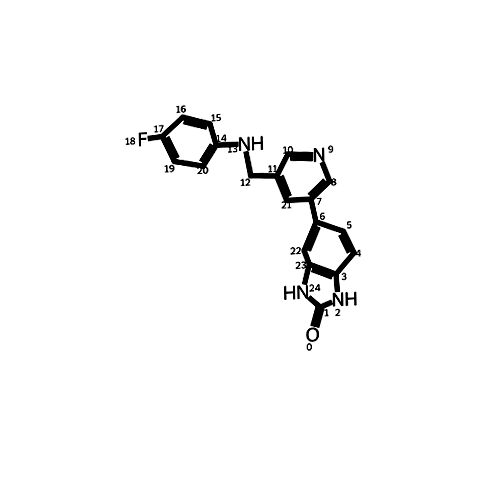 O=c1[nH]c2ccc(-c3cncc(CNc4ccc(F)cc4)c3)cc2[nH]1